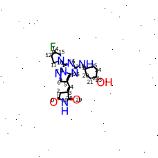 O=C1C/C(=C\c2cnn3c(N4CCC(F)C4)nc(NC4CCC(O)CC4)nc23)C(=O)N1